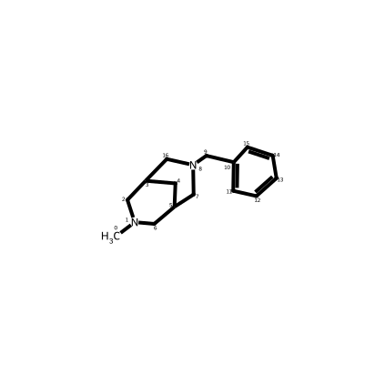 CN1CC2CC(C1)CN(Cc1ccccc1)C2